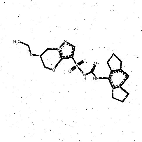 CCO[C@@H]1COc2c(S(=O)(=O)NC(=O)Nc3c4c(cc5c3CCC5)CCC4)cnn2C1